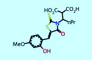 CCCC(C(C(=O)O)C(=O)O)N1C(=O)/C(=C/c2ccc(OC)cc2O)SC1=S